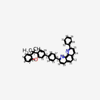 CC1(C)c2ccccc2Oc2cc(-c3ccc(-c4ccc5ccc6ccc(-c7ccccc7)nc6c5n4)cc3)ccc21